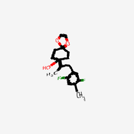 Cc1cc(F)c(CC(C)C2(O)CCC3(CC2)OCCO3)cc1F